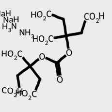 N.N.O=C(O)CC(CC(=O)O)(OC(=O)OC(CC(=O)O)(CC(=O)O)C(=O)O)C(=O)O.[NaH].[NaH]